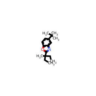 CCC(C)(CC)c1nc2cc(C(C)(C)C)ccc2o1